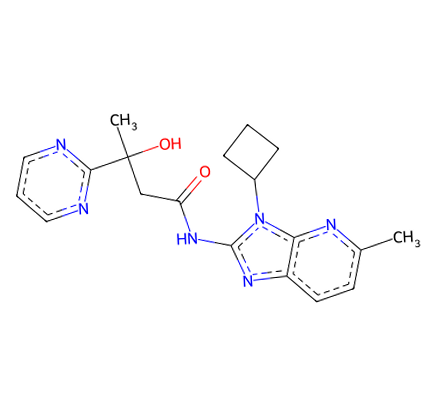 Cc1ccc2nc(NC(=O)CC(C)(O)c3ncccn3)n(C3CCC3)c2n1